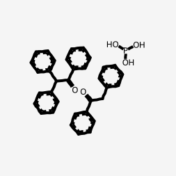 O=C(Cc1ccccc1)c1ccccc1.O=C(c1ccccc1)C(c1ccccc1)c1ccccc1.OP(O)O